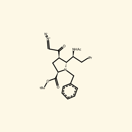 CC(=O)N[C@@H](CC(C)C)[C@H]1[C@H](C(=O)C=[N+]=[N-])C[C@H](C(=O)OC(C)(C)C)N1Cc1ccccc1